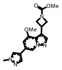 COC(=O)N1CC(c2cnn3cc(-c4cnn(C)c4)cc(OC)c23)C1